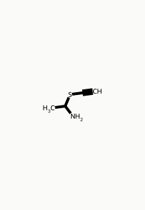 C#CSC(C)N